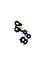 c1ccc2c(-n3c4ccccc4c4ccc(-c5cccc6c5sc5ccccc56)cc43)cccc2c1